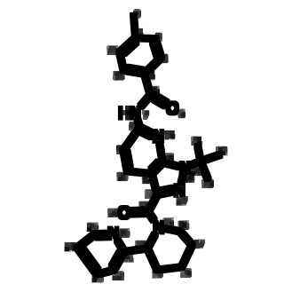 Cc1ccc(C(=O)Nc2ccc3c(C(=O)N4CCCCC4c4ccccn4)nn(C(C)(C)C)c3n2)cc1